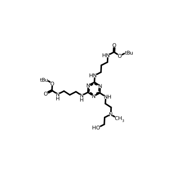 CN(CCO)CCNc1nc(NCCCNC(=O)OC(C)(C)C)nc(NCCCNC(=O)OC(C)(C)C)n1